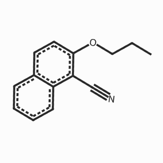 CCCOc1ccc2ccccc2c1C#N